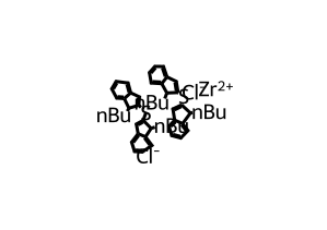 CCCCC1C(SC2=Cc3ccccc3C2CCCC)=Cc2ccccc21.CCCCC1C(SC2=Cc3ccccc3C2CCCC)=Cc2ccccc21.[Cl-].[Cl-].[Zr+2]